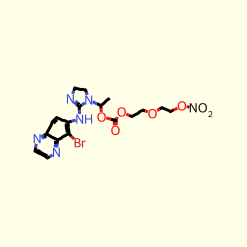 CC(OC(=O)OCCOCCO[N+](=O)[O-])N1CCN=C1Nc1ccc2nccnc2c1Br